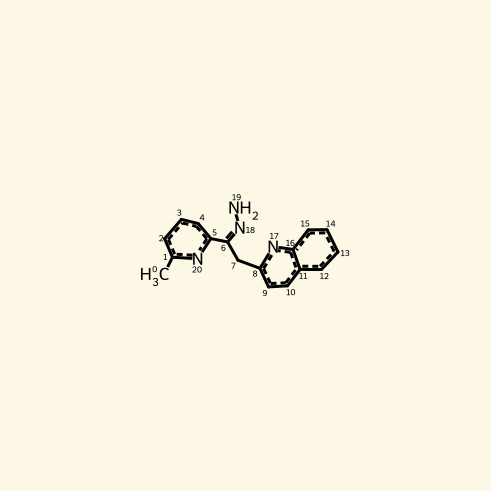 Cc1cccc(C(Cc2ccc3ccccc3n2)=NN)n1